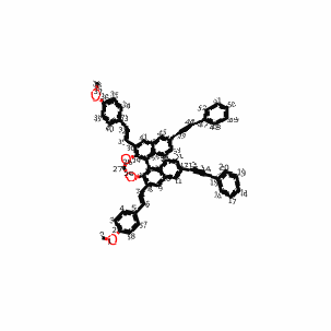 COc1ccc(/C=C/c2cc3cc(C#Cc4ccccc4)ccc3c3c2OCOc2c(/C=C/c4ccc(OC)cc4)cc4cc(C#Cc5ccccc5)ccc4c2-3)cc1